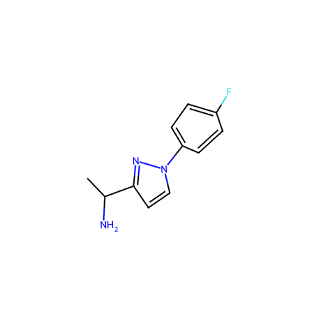 CC(N)c1ccn(-c2ccc(F)cc2)n1